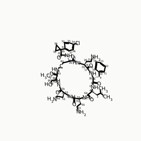 CC(C)C[C@@H]1NC(=O)[C@@H](Cc2ccccc2)NC(=O)[C@H](CCN)NC(=O)[C@@H](NC(=O)C2(c3ccc(Cl)cc3)CC2)CCNC(=O)[C@H]([C@@H](C)O)NC(=O)[C@H](CCN)NC(=O)[C@H](CCN)NC1=O